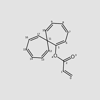 C=CC(=O)OC1=CC=CC=CC12C=CC=CC=C2